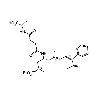 C=C(C)/C(=C\C=C(/C)C[C@H](C[C@@H](C)C(=O)OCC)NC(=O)CCC(=O)N[C@@H](C)C(=O)O)c1ccccc1